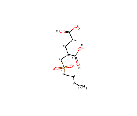 CCCCS(=O)(=O)CC(CCC(=O)O)C(=O)O